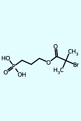 CC(C)(Br)C(=O)OCCCP(=O)(O)O